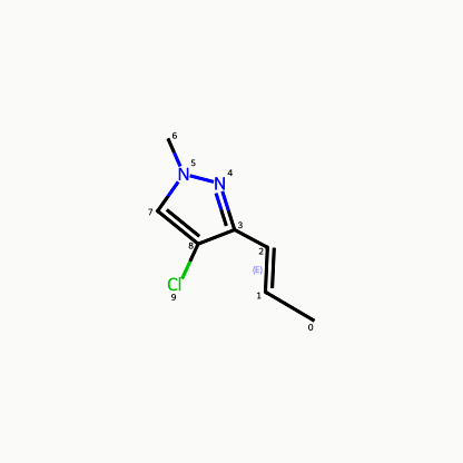 C/C=C/c1nn(C)cc1Cl